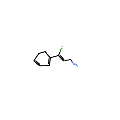 NC/C=C(\Cl)C1=CC=CCC1